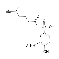 CCCCC(C)CCCC(=O)O[As](=O)(O)c1ccc(O)c(NC(C)=O)c1